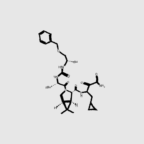 CC(C)(C)[C@H](NC(=O)N[C@H](COCc1ccccc1)C(C)(C)C)C(=O)N1C[C@H]2[C@@H]([C@H]1C(=O)NC(CC1CC1)C(=O)C(N)=O)C2(C)C